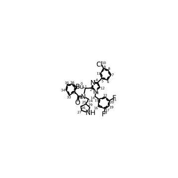 CC(C)(C)[C@H](c1nc(-c2cccc(Cl)c2)cn1Cc1cc(F)cc(F)c1)N(CC1CCNC1)C(=O)c1ccccc1